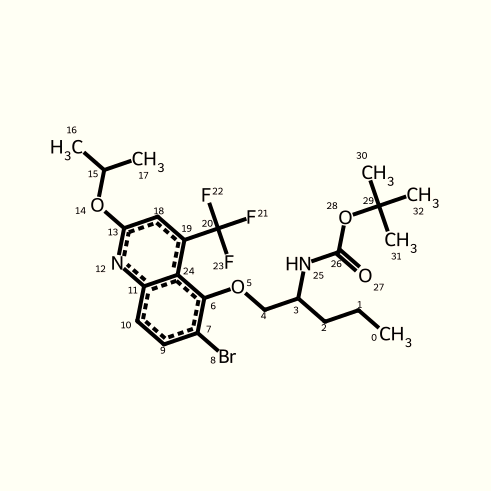 CCCC(COc1c(Br)ccc2nc(OC(C)C)cc(C(F)(F)F)c12)NC(=O)OC(C)(C)C